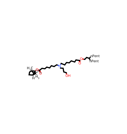 CCCCCC(CCCCC)CCOC(=O)CCCCCCCN(CCCCO)CCCCCCCC(=O)O[C@H]1C[C@H]2CC[C@]1(C)C2(C)C